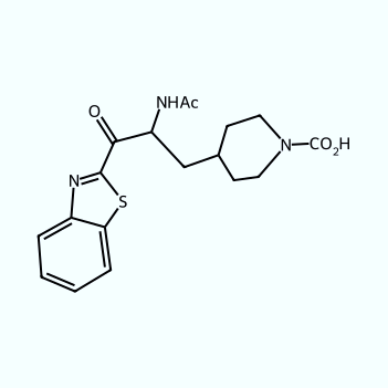 CC(=O)NC(CC1CCN(C(=O)O)CC1)C(=O)c1nc2ccccc2s1